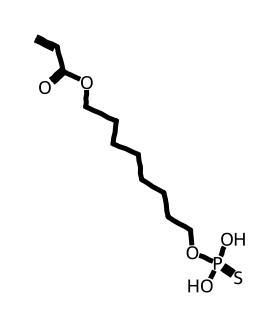 C=CC(=O)OCCCCCCCCOP(O)(O)=S